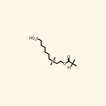 CCC(C)(C)C(=O)OCC[N+](C)(C)CCCCCCS(=O)(=O)O